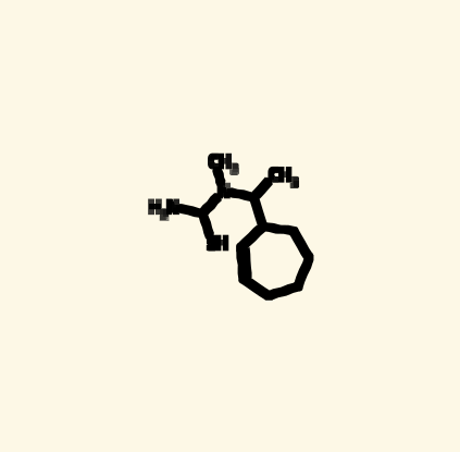 CC(C1C=CCCCC1)N(C)C(N)S